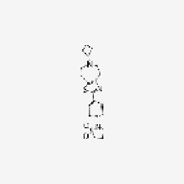 O=S1(=O)CCCN1c1ccc(-c2nc3c(s2)CCN(C2CCC2)CC3)cc1